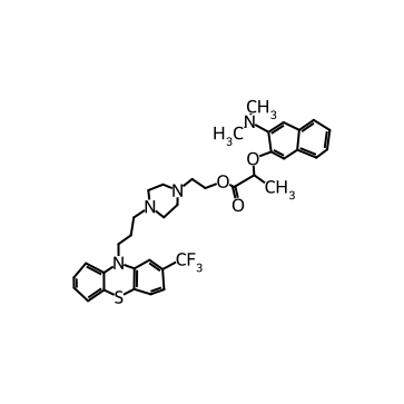 CC(Oc1cc2ccccc2cc1N(C)C)C(=O)OCCN1CCN(CCCN2c3ccccc3Sc3ccc(C(F)(F)F)cc32)CC1